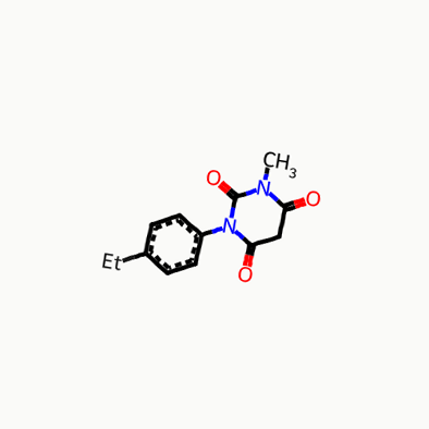 CCc1ccc(N2C(=O)CC(=O)N(C)C2=O)cc1